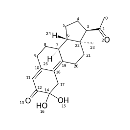 CC(=O)[C@@H]1CC[C@H]2[C@@H]3CCC4=CC(=O)C(O)(O)CC4=C3CC[C@]12C